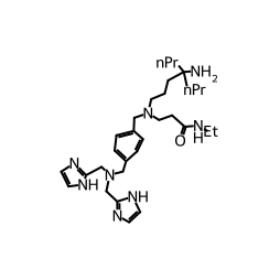 CCCC(N)(CCC)CCCN(CCC(=O)NCC)Cc1ccc(CN(Cc2ncc[nH]2)Cc2ncc[nH]2)cc1